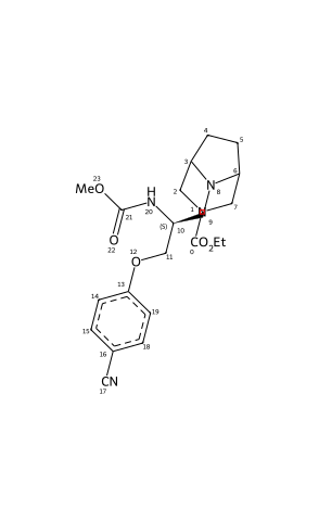 CCOC(=O)N1CC2CCC(C1)N2C[C@@H](COc1ccc(C#N)cc1)NC(=O)OC